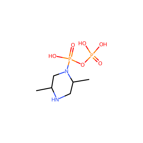 CC1CN(P(=O)(O)OP(=O)(O)O)C(C)CN1